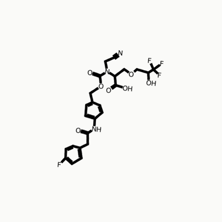 N#CCN(C(=O)OCc1ccc(NC(=O)Cc2ccc(F)cc2)cc1)C(COCC(O)C(F)(F)F)C(=O)O